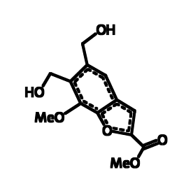 COC(=O)c1cc2cc(CO)c(CO)c(OC)c2o1